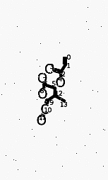 C=CC(=O)OC1C(=O)OC(=C=O)C1C